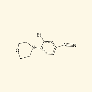 CCc1cc([N+]#N)ccc1N1CCOCC1